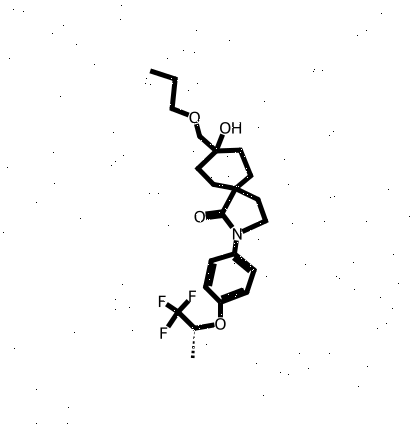 CCCOCC1(O)CCC2(CCN(c3ccc(O[C@H](C)C(F)(F)F)cc3)C2=O)CC1